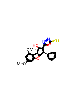 COc1cc(OC)c2c(c1)OC1C2C(O)C(c2nnc(S)o2)[C@H]1c1ccccc1